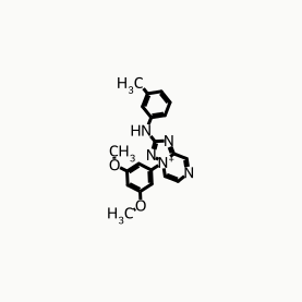 COc1cc(OC)cc([N+]23C=CN=CC2=NC(Nc2cccc(C)c2)=N3)c1